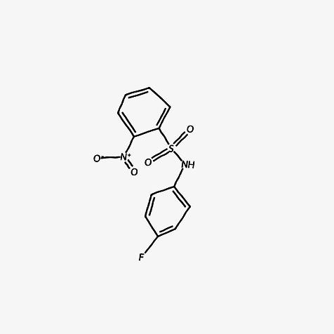 O=[N+]([O-])c1ccccc1S(=O)(=O)Nc1ccc(F)cc1